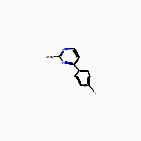 CCc1ccc(-c2ccnc(OC)n2)cc1